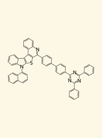 c1ccc(-c2nc(-c3ccccc3)nc(-c3ccc(-c4ccc(-c5nc6ccccc6c6c5sc5c6c6ccccc6n5-c5cccc6ccccc56)cc4)cc3)n2)cc1